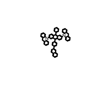 c1ccc(-c2c3ccc(N4c5ccccc5Cc5ccccc54)cc3c(-c3ccc(-c4ccc5ccccc5c4)cc3)c3ccc(N4c5ccccc5Cc5ccccc54)cc23)cc1